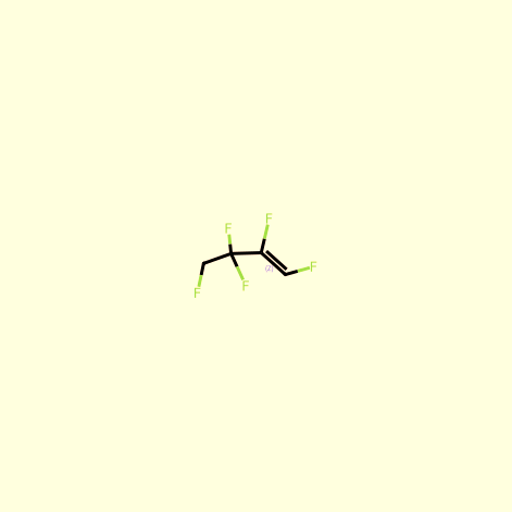 F/C=C(\F)C(F)(F)CF